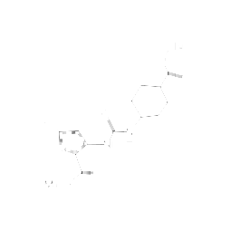 COC(=O)c1sc(Br)cc1NC(=O)NC1CCC(C(=O)OC(C)(C)C)CC1